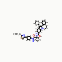 CCOC(=O)c1nc(-c2ccc(NC(=O)C3(NC(=O)c4ccc5c(C6CCCCC6)c6n(c5c4)CCCc4ccccc4-6)CCCC3)cc2)cs1